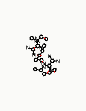 N#Cc1cc(C#N)cc(-c2cc(-c3nc(-c4ccccc4)nc(-c4cccc(-c5ccccc5)c4)n3)cc(-n3c4ccccc4c4ccc(-c5ccc(-c6ccccc6-c6cccc(-c7nc(-c8cccc(-c9ccccc9)c8)nc(-c8cc(-c9cc(C#N)cc(C#N)c9)cc(-n9c%10ccccc%10c%10ccc(-c%11ccccc%11)cc%109)c8)n7)c6)cc5)cc43)c2)c1